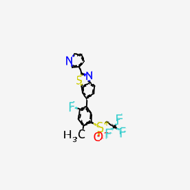 Cc1cc(F)c(-c2ccc3nc(-c4cccnc4)sc3c2)cc1[S+]([O-])CC(F)(F)F